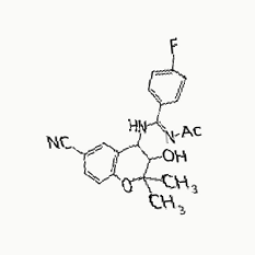 CC(=O)N=C(NC1c2cc(C#N)ccc2OC(C)(C)C1O)c1ccc(F)cc1